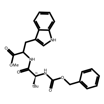 COC(=O)C(Cc1c[nH]c2ccccc12)NC(=O)[C@@H](NC(=O)OCc1ccccc1)C(C)(C)C